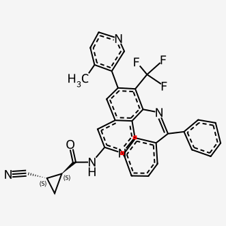 Cc1ccncc1-c1cc2cc(NC(=O)[C@H]3C[C@@H]3C#N)ncc2c(N=C(c2ccccc2)c2ccccc2)c1C(F)(F)F